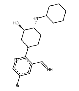 N=Cc1cc(Br)cnc1N1CC[C@@H](NC2CCCCC2)[C@H](O)C1